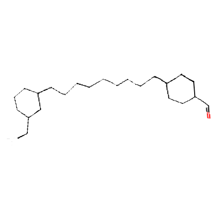 CCC1CCCC(CCCCCCCCCC2CCC(C=O)CC2)C1